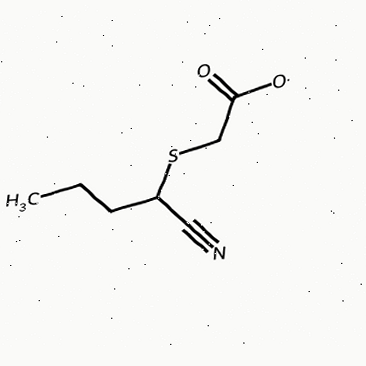 CCCC(C#N)SCC([O])=O